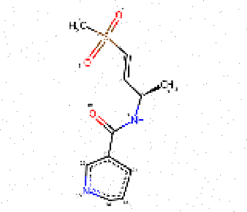 C[C@H](/C=C/S(C)(=O)=O)NC(=O)c1cccnc1